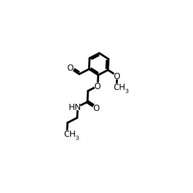 CCCNC(=O)COc1c(C=O)cccc1OC